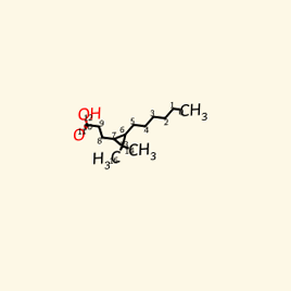 CCCCCCC1C(CCC(=O)O)C1(C)C